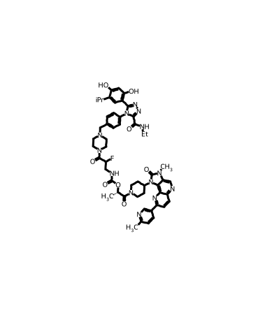 CCNC(=O)c1nnc(-c2cc(C(C)C)c(O)cc2O)n1-c1ccc(CN2CCN(C(=O)C(F)CNC(=O)O[C@@H](C)C(=O)N3CCC(n4c(=O)n(C)c5cnc6ccc(-c7ccc(C)nc7)nc6c54)CC3)CC2)cc1